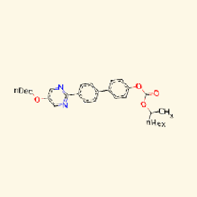 CCCCCCCCCCOc1cnc(-c2ccc(-c3ccc(OC(=O)OC(C)CCCCCC)cc3)cc2)nc1